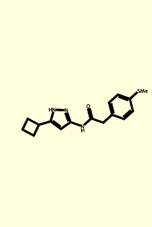 CSc1ccc(CC(=O)Nc2cc(C3CCC3)[nH]n2)cc1